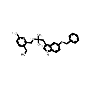 CC(C)(Cc1c[nH]c2ccc(OCc3ccccc3)cc12)NCc1nc(N)ccc1CO